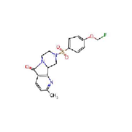 Cc1ccc2c(n1)C1CN(S(=O)(=O)c3ccc(OCF)cc3)CCN1C2=O